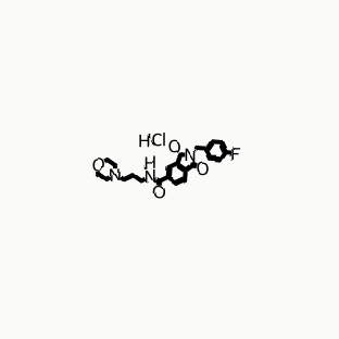 Cl.O=C(NCCCN1CCOCC1)c1ccc2c(c1)C(=O)N(Cc1ccc(F)cc1)C2=O